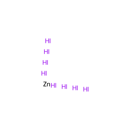 I.I.I.I.I.I.I.I.[Zn]